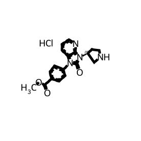 COC(=O)c1ccc(-n2c(=O)n([C@H]3CCNC3)c3ncccc32)cc1.Cl